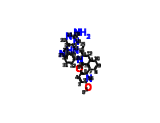 COc1cccc(-c2cccc3cc([C@H](C)Nc4nc(N)ncc4C#N)n(-c4ccccc4)c(=O)c23)n1